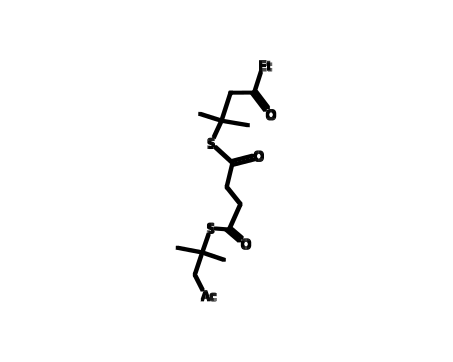 CCC(=O)CC(C)(C)SC(=O)CCC(=O)SC(C)(C)CC(C)=O